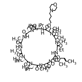 C/C=C/C[C@@H](C)[C@H]1ON2C(=O)C(C(C)C)N(C)C(=O)[C@H](CC(C)C)N(C)C(=O)[C@H](CC(C)C)N(C)C(=O)[C@@H](C)NC(=O)[C@H](C)NC(=O)[C@H](CC(C)C)N(C)C(=O)[C@H](C(C)C)NC(=O)C([C@@H](C)OCCCCN3CCOCC3)N(C)C(=O)[C@@H](C)N(C)C(=O)[C@H](CC)NC(=O)[C@H]12